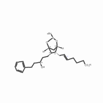 CCCCB1O[C@H]2C[C@@H](O1)[C@H](CC[C@@H](O)CCc1ccccc1)[C@H]2C/C=C/CCCC(=O)O